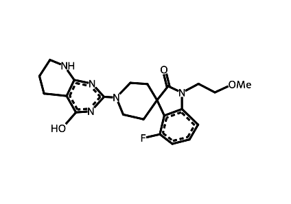 COCCN1C(=O)C2(CCN(c3nc(O)c4c(n3)NCCC4)CC2)c2c(F)cccc21